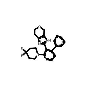 FC1(F)CCN(c2nccc(-c3ccccc3)c2-c2nc3c([nH]2)COCC3)CC1